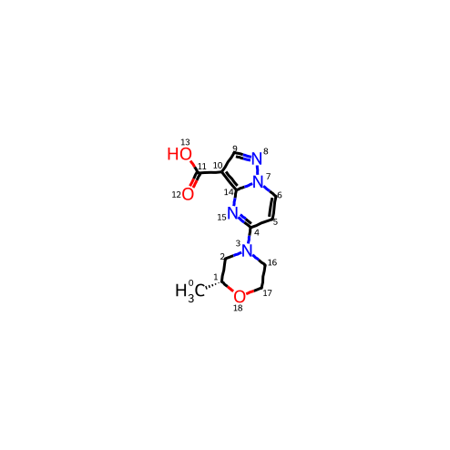 C[C@@H]1CN(c2ccn3ncc(C(=O)O)c3n2)CCO1